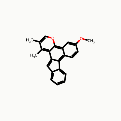 COc1ccc2c(c1)c1occ(C)c(C)c1c1cc3ccccc3c21